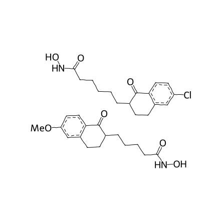 COc1ccc2c(c1)CCC(CCCCC(=O)NO)C2=O.O=C(CCCCCC1CCc2cc(Cl)ccc2C1=O)NO